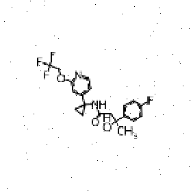 C[C@@](O)(CC(=O)NC1(c2ccnc(OCC(F)(F)F)c2)CC1)c1ccc(F)cc1